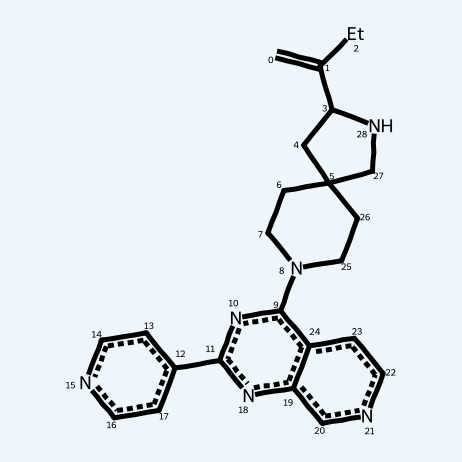 C=C(CC)C1CC2(CCN(c3nc(-c4ccncc4)nc4cnccc34)CC2)CN1